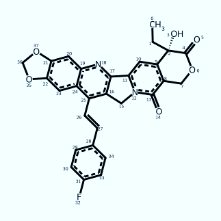 CC[C@@]1(O)C(=O)OCc2c1cc1n(c2=O)Cc2c-1nc1cc3c(cc1c2/C=C/c1ccc(F)cc1)OCO3